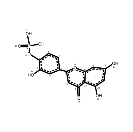 O=c1cc(-c2ccc(OP(=O)(O)O)c(O)c2)oc2cc(O)cc(O)c12